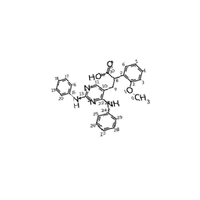 COc1ccccc1C(Cc1cnc(Nc2ccccc2)nc1Nc1ccccc1)C(=O)O